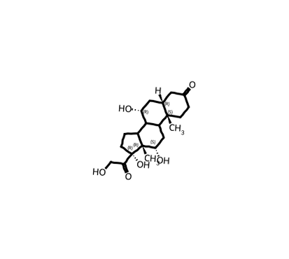 C[C@]12CCC(=O)C[C@H]1C[C@@H](O)C1C2C[C@H](O)[C@@]2(C)C1CC[C@]2(O)C(=O)CO